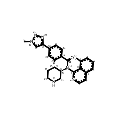 Cc1cccc2ccnc(N(C(=O)c3ccc(-c4cn(C)nn4)cc3F)[C@@H]3CCCNC3)c12